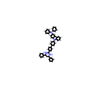 c1ccc(C2CC(c3ccccc3)NC(c3ccc(-c4ccc(-n5c6ccccc6c6cc(N(c7ccccc7)c7ccccc7)ccc65)cc4)cc3)N2)cc1